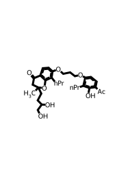 CCCc1c(OCCCOc2ccc3c(c2CCC)OC(C)(CCC(O)CO)CC3=O)ccc(C(C)=O)c1O